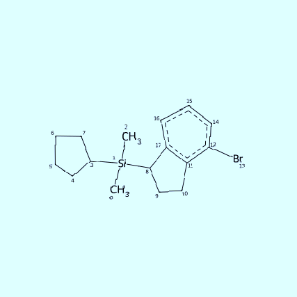 C[Si](C)(C1CCCC1)C1CCc2c(Br)cccc21